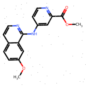 COC(=O)c1cc(Nc2nccc3ccc(OC)cc23)ccn1